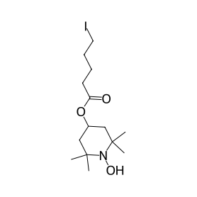 CC1(C)CC(OC(=O)CCCCI)CC(C)(C)N1O